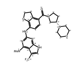 CNc1nc(Nc2ccc(C(=O)N3CC[C@H](N4CCOCC4)C3)c3c2OCC3)nc2[nH]cc(C(F)(F)F)c12